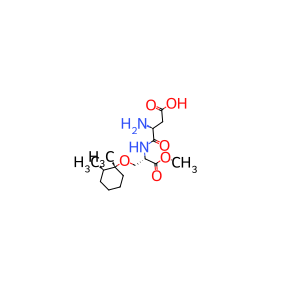 COC(=O)[C@H](CO[C@]1(C)CCCC[C@H]1C)NC(=O)[C@@H](N)CC(=O)O